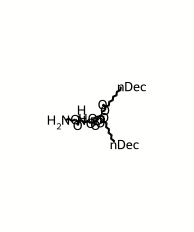 CCCCCCCCCCCCCCCCCC(=O)OC[C@H](COP(=O)(O)OCCNC(=O)OCCN)OC(=O)CCCCCCCCCCCCCCCCC